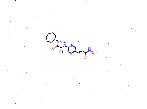 CC[C@@H](Nc1cnc(/C=C/C(=O)NO)cn1)C(=O)NC1CCCCCC1